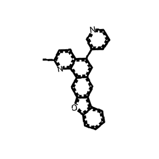 Cc1ccc2c(-c3cccnc3)cc3cc4c(cc3c2n1)oc1ccccc14